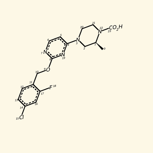 C[C@H]1CN(c2ccnc(OCc3ccc(Cl)cc3F)n2)CCN1C(=O)O